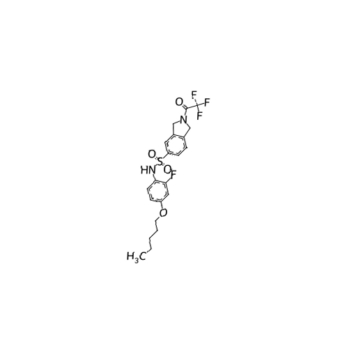 CCCCCOc1ccc(NS(=O)(=O)c2ccc3c(c2)CN(C(=O)C(F)(F)F)C3)c(F)c1